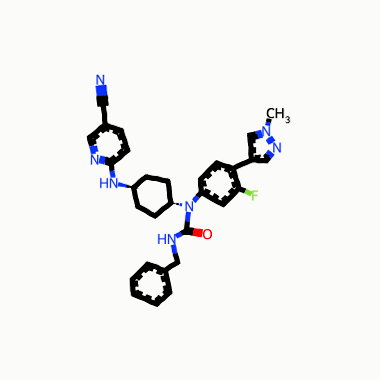 Cn1cc(-c2ccc(N(C(=O)NCc3ccccc3)[C@H]3CC[C@H](Nc4ccc(C#N)cn4)CC3)cc2F)cn1